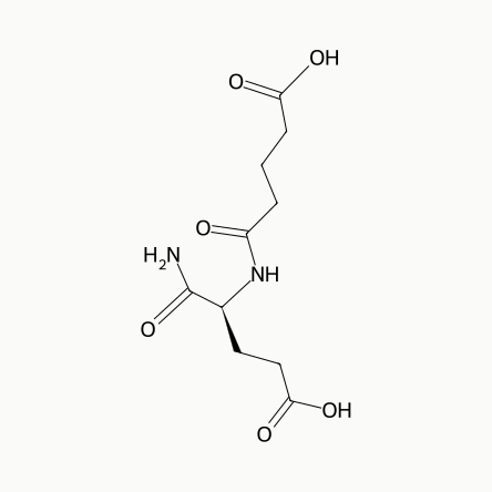 NC(=O)[C@H](CCC(=O)O)NC(=O)CCCC(=O)O